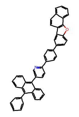 c1ccc(-c2c3ccccc3c(-c3ccc(-c4ccc(-c5ccc6oc7c8ccccc8ccc7c6c5)cc4)nc3)c3ccccc23)cc1